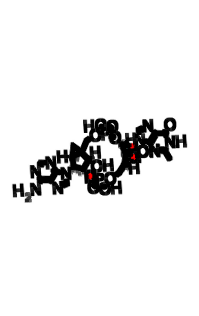 Cc1nc2c(ncn2[C@@H]2O[C@@H]3COP(=O)(O)O[C@H]4[C@H](n5cnc6c(N)ncnc65)[C@H]5CC5(COP(=O)(O)O[C@@H]2[C@@H]3CO)[C@H]4O)c(=O)[nH]1